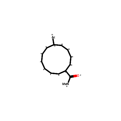 CNC(=O)C1CCCCCCC(C(C)=O)CCCC1